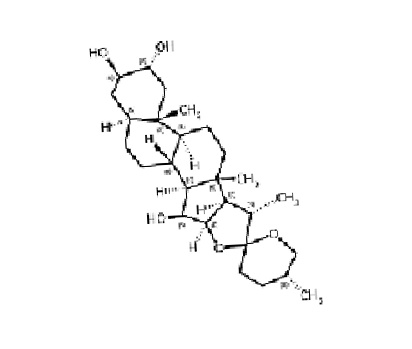 C[C@@H]1CCC2(OC1)O[C@H]1[C@@H](O)[C@H]3[C@@H]4CC[C@H]5C[C@@H](O)[C@H](O)C[C@]5(C)[C@H]4CC[C@]3(C)[C@H]1[C@@H]2C